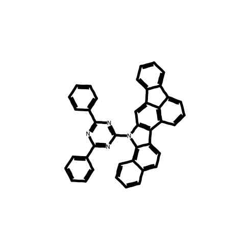 c1ccc(-c2nc(-c3ccccc3)nc(-n3c4cc5c6c(cccc6c4c4ccc6ccccc6c43)-c3ccccc3-5)n2)cc1